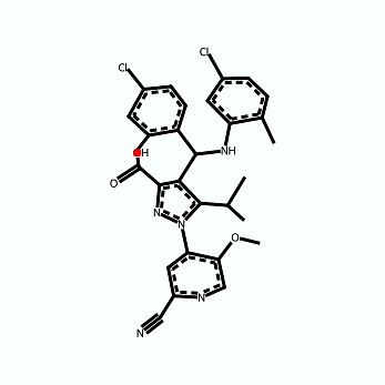 COc1cnc(C#N)cc1-n1nc(C(=O)O)c(C(Nc2cc(Cl)ccc2C)c2ccc(Cl)cc2C)c1C(C)C